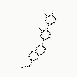 CCCOc1ccc2cc(-c3ccc(-c4ccc(Cl)c(F)c4)c(F)c3)ccc2c1